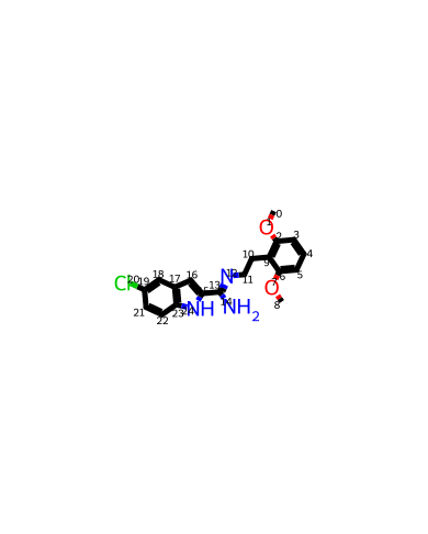 COc1cccc(OC)c1CCN=C(N)c1cc2cc(Cl)ccc2[nH]1